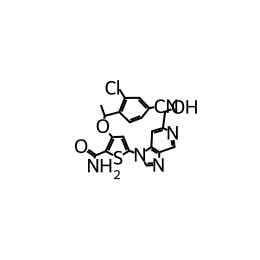 CC(Oc1cc(-n2cnc3cnc(CO)cc32)sc1C(N)=O)c1ccc(C#N)cc1Cl